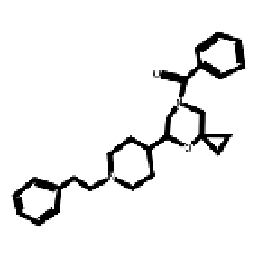 O=C(c1ccccc1)N1CC(C2CCN(CCc3ccccc3)CC2)OC2(CC2)C1